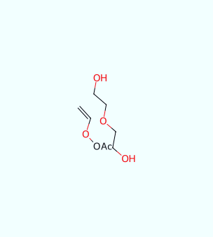 C=COOC(C)=O.OCCOCCO